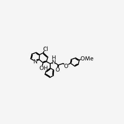 COc1ccc(OCC(=O)NC(c2ccccc2)c2cc(Cl)c3cccnc3c2O)cc1